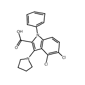 O=C(O)c1c(N2CCCC2)c2c(Cl)c(Cl)ccc2n1-c1ccccc1